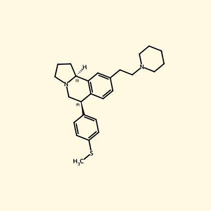 CSc1ccc([C@H]2CN3CCC[C@H]3c3cc(CCN4CCCCC4)ccc32)cc1